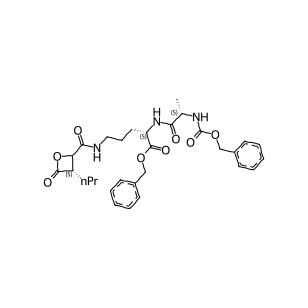 CCC[C@@H]1C(=O)OC1C(=O)NCCC[C@H](NC(=O)[C@H](C)NC(=O)OCc1ccccc1)C(=O)OCc1ccccc1